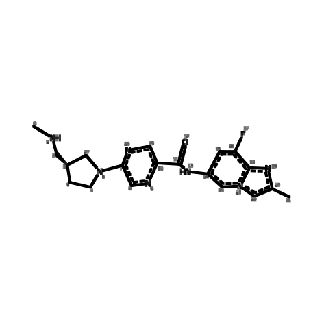 CNC[C@@H]1CCN(c2cnc(C(=O)Nc3cc(F)c4nc(C)cn4c3)cn2)C1